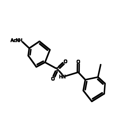 CC(=O)Nc1ccc(S(=O)(=O)NC(=O)c2ccccc2C)cc1